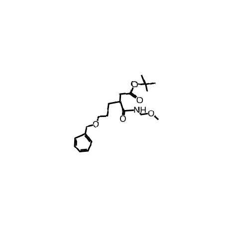 COCNC(=O)C(CCCOCc1ccccc1)CC(=O)OC(C)(C)C